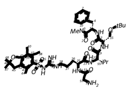 CNC(=O)[C@H](Cc1ccccc1)NC(=O)[C@H](COC(C)(C)C)NC(=O)[C@@H](NC(=O)[C@H](CCCNC(=N)NS(=O)(=O)c1c(C)c(C)c2c(c1C)CC(C)(C)O2)NC(=O)CN)C(C)C